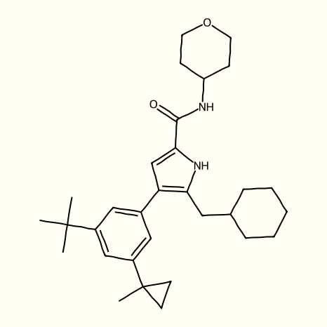 CC(C)(C)c1cc(-c2cc(C(=O)NC3CCOCC3)[nH]c2CC2CCCCC2)cc(C2(C)CC2)c1